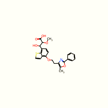 COC(C(=O)O)C(O)c1ccc(OCCc2nc(-c3ccccc3)oc2C)c2ccsc12